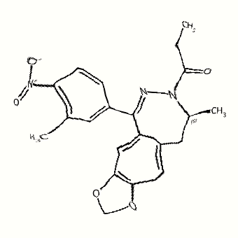 CCC(=O)N1N=C(c2ccc([N+](=O)[O-])c(C)c2)c2cc3c(cc2C[C@@H]1C)OCO3